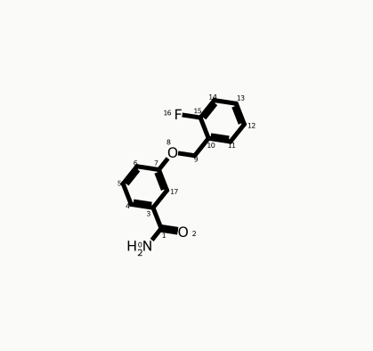 NC(=O)c1cccc(OCc2ccccc2F)c1